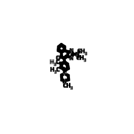 Cc1c(C2=C3N=C(N(C)C)N=C3c3ccccc3C2=O)ccc(N2CCN(C)CC2)c1C